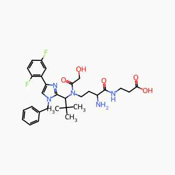 CC(C)(C)C(c1nc(-c2cc(F)ccc2F)cn1Cc1ccccc1)N(CCC(N)C(=O)NCCC(=O)O)C(=O)CO